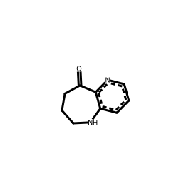 O=C1CCCNc2cccnc21